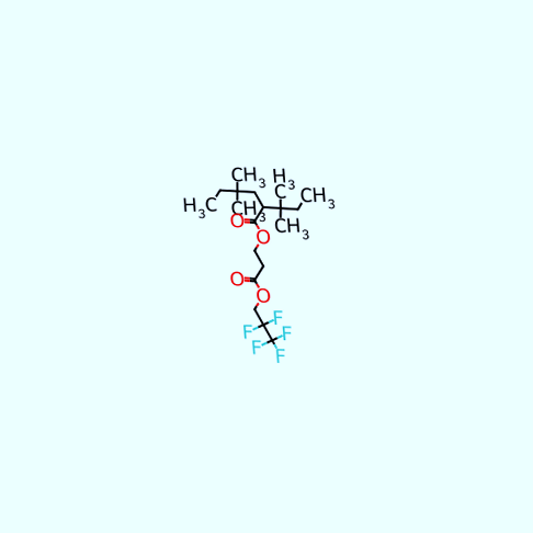 CCC(C)(C)CC(C(=O)OCCC(=O)OCC(F)(F)C(F)(F)F)C(C)(C)CC